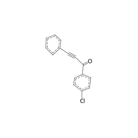 O=C(C#Cc1ccccc1)c1ccc(Cl)cc1